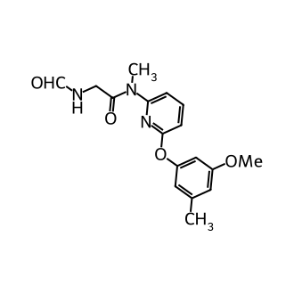 COc1cc(C)cc(Oc2cccc(N(C)C(=O)CNC=O)n2)c1